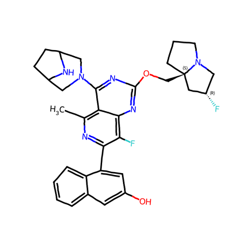 Cc1nc(-c2cc(O)cc3ccccc23)c(F)c2nc(OC[C@@]34CCCN3C[C@H](F)C4)nc(N3CC4CCC(C3)N4)c12